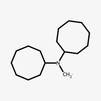 [CH2]N(C1CCCCCCC1)C1CCCCCCC1